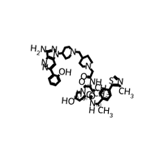 Cc1ncsc1-c1ccc([C@H](C)NC(=O)[C@@H]2C[C@@H](O)CN2C(=O)[C@@H](NC(=O)CN2CCC(CN3CCC(n4nc(N)c5nnc(-c6ccccc6O)cc54)CC3)CC2)C(C)(C)C)cc1